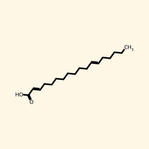 CCCCCC=CCCCCCCCCC=CC(=O)O